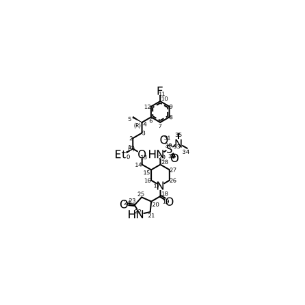 CC[C@@H](CC[C@@H](C)c1cccc(F)c1)OCC1CN(C(=O)C2CNC(=O)C2)CCC1NS(=O)(=O)N(C)C